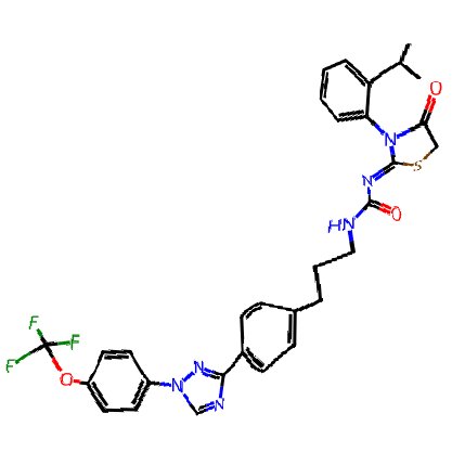 CC(C)c1ccccc1N1C(=O)CSC1=NC(=O)NCCCc1ccc(-c2ncn(-c3ccc(OC(F)(F)F)cc3)n2)cc1